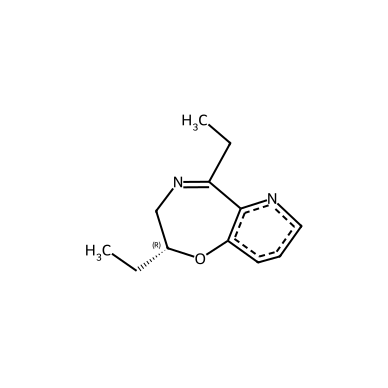 CCC1=NC[C@@H](CC)Oc2cccnc21